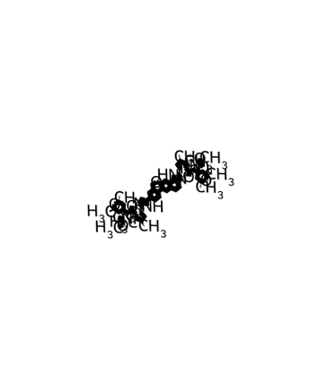 COC(=O)N[C@H](C(=O)N1[C@H](c2ncc(-c3ccc4c(c3)COc3cc5c(ccc6nc([C@@H]7C[C@H](C)[C@H](C)N7C(=O)[C@@H](NC(=O)OC)C7C[C@@H](C)O[C@H](C)C7)[nH]c65)cc3-4)[nH]2)C[C@H](C)[C@@H]1C)C1C[C@@H](C)O[C@H](C)C1